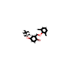 Cc1cccc(C)c1OCc1cc(O[Si](C)(C)C(C)(C)C)ccc1Br